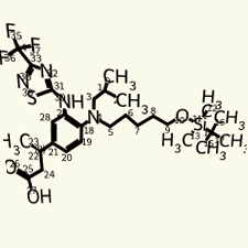 CC(C)CN(CCCCCO[Si](C)(C)C(C)(C)C)c1ccc([C@H](C)CC(=O)O)cc1Nc1nc(C(F)(F)F)ns1